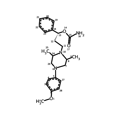 COc1ccc(N2CC(C)N(CC[C@@H](OC(N)=O)c3ccccc3)C(C)C2)cc1